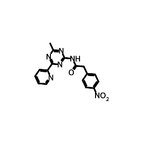 Cc1nc(NC(=O)Cc2ccc([N+](=O)[O-])cc2)nc(-c2ccccn2)n1